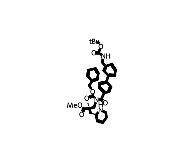 COC(=O)[C@](C)(C[C@@H]1C=CCCN1)CN(C(=O)OCc1ccccc1)C(=O)c1ccc(-c2cccc(CNC(=O)OC(C)(C)C)c2)cc1